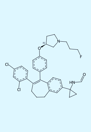 O=CNC1(c2ccc3c(c2)CCCC(c2ccc(Cl)cc2Cl)=C3c2ccc(O[C@H]3CCN(CCCF)C3)cc2)CC1